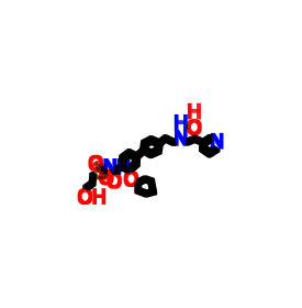 O=C(NS(=O)(=O)CCCO)c1ccc(-c2ccc(CCNC[C@@H](O)c3cccnc3)cc2)cc1OC1CCCCC1